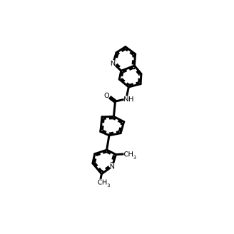 Cc1ccc(-c2ccc(C(=O)Nc3ccc4cccnc4c3)cc2)c(C)n1